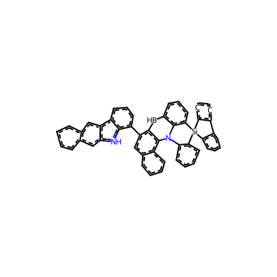 B1c2cccc3c2N(c2ccccc2[Si]32c3ccccc3-c3ccccc32)c2c1c(-c1cccc3c1[nH]c1cc4ccccc4cc13)cc1ccccc21